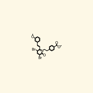 COC(=O)c1ccc(CCn2c(/C=C/c3cccc(OC)c3)c(Br)cc(Br)c2=O)cc1